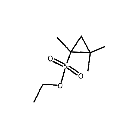 CCOS(=O)(=O)C1(C)CC1(C)C